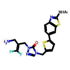 CC(=O)Nc1nc2ccc(-c3ccc(Cn4cnn(CC(CN)=C(F)F)c4=O)s3)cc2s1